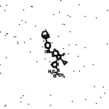 CS(C)(=O)=Nc1cccc(-n2c(C3CC3)c(F)c3cnc(Nc4ccc(C5=CC6CCC(C5)N6)cc4)nc32)n1